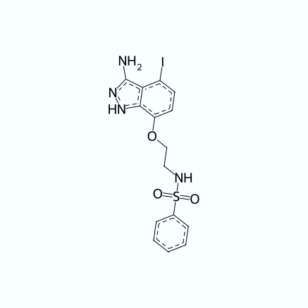 Nc1n[nH]c2c(OCCNS(=O)(=O)c3ccccc3)ccc(I)c12